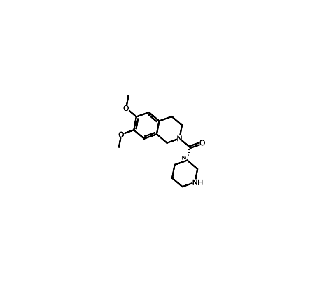 COc1cc2c(cc1OC)CN(C(=O)[C@H]1CCCNC1)CC2